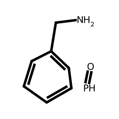 NCc1ccccc1.O=P